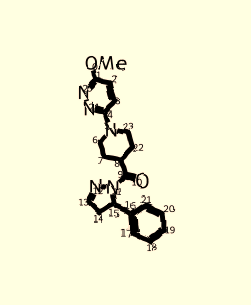 COc1ccc(N2CCC(C(=O)N3N=CCC3c3ccccc3)CC2)nn1